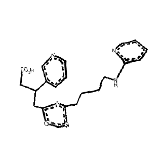 O=C(O)CC(Cc1nc(CCCCNc2ccccn2)no1)c1cccnc1